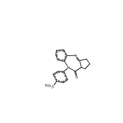 CCOC(=O)c1ccc(N2C(=O)C3CCCC3=Nc3ccccc32)cc1